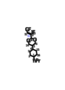 CCCC1CCC(C2COC(/C(F)=C/C(F)(F)F)OC2)CC1